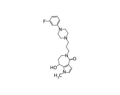 Cn1ccc2c1C(O)CCN(CCCN1CCN(c3cccc(F)c3)CC1)C2=O